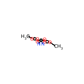 CCCCCCO[C@H]1CC[C@H](OC(=O)c2ccc(C(=O)O[C@H]3CC[C@H](OCCCC)CC3)c(C#N)c2C#N)CC1